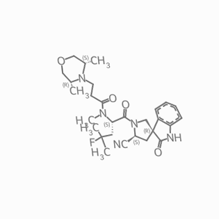 C[C@@H]1COC[C@H](C)N1CCC(=O)N(C)[C@@H](CC(C)(C)F)C(=O)N1C[C@]2(C[C@H]1C#N)C(=O)Nc1ccccc12